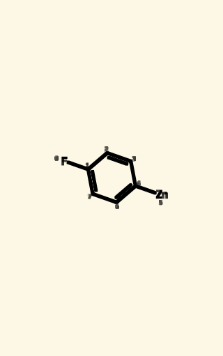 Fc1cc[c]([Zn])cc1